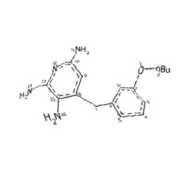 CCCCOc1cccc(Cc2cc(N)nc(N)c2N)c1